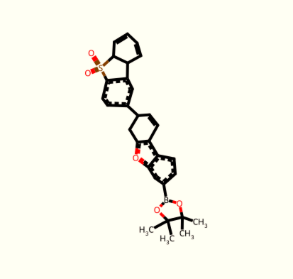 CC1(C)OB(c2ccc3c4c(oc3c2)CC(c2ccc3c(c2)C2C=CC=CC2S3(=O)=O)C=C4)OC1(C)C